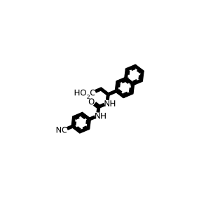 N#Cc1ccc(NC(=O)NC(CC(=O)O)c2ccc3ccccc3c2)cc1